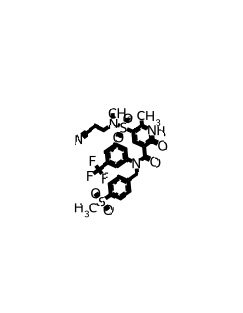 Cc1[nH]c(=O)c(C(=O)N(Cc2ccc(S(C)(=O)=O)cc2)c2cccc(C(F)(F)F)c2)cc1S(=O)(=O)N(C)CCC#N